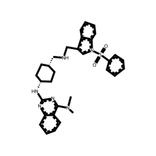 CN(C)c1nc(N[C@H]2CC[C@@H](CNCc3cn(S(=O)(=O)c4ccccc4)c4ccccc34)CC2)nc2ccccc12